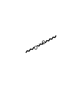 CCCCCCCCOC[CH]CCOCCCCCC